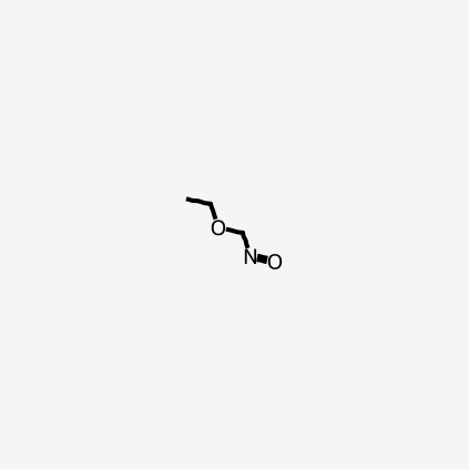 CCOCN=O